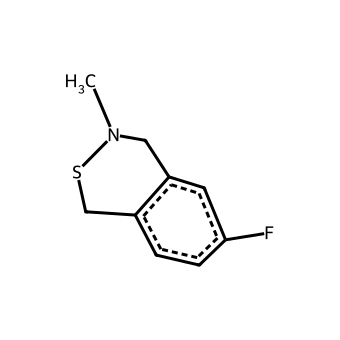 CN1Cc2cc(F)ccc2CS1